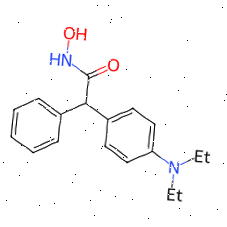 CCN(CC)c1ccc(C(C(=O)NO)c2ccccc2)cc1